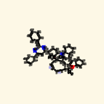 C=C1/C=C\C=C/CC(C)(C)c2c1c1oc3ccccc3c1c1c3ccccc3n(-c3ccc(-c4cc(-c5ccccc5)nc(-c5ccccc5)n4)cc3)c21